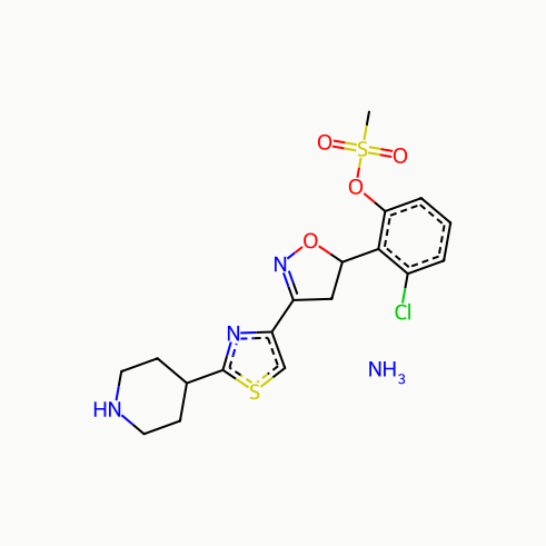 CS(=O)(=O)Oc1cccc(Cl)c1C1CC(c2csc(C3CCNCC3)n2)=NO1.N